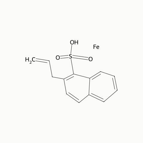 C=CCc1ccc2ccccc2c1S(=O)(=O)O.[Fe]